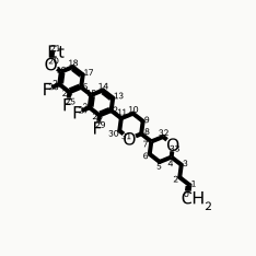 C=CCCC1CCC(C2CCC(c3ccc(-c4ccc(OCC)c(F)c4F)c(F)c3F)CO2)CO1